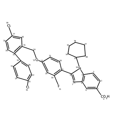 O=C(O)c1ccc2c(c1)nc(-c1ccc(OCc3cc(Cl)ccc3-c3ccc(Cl)cc3)cc1F)n2C1CCCCC1